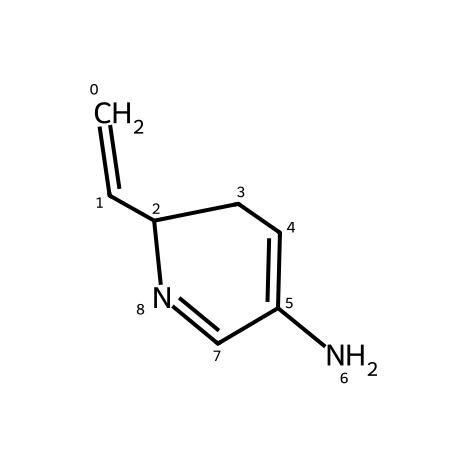 C=CC1CC=C(N)C=N1